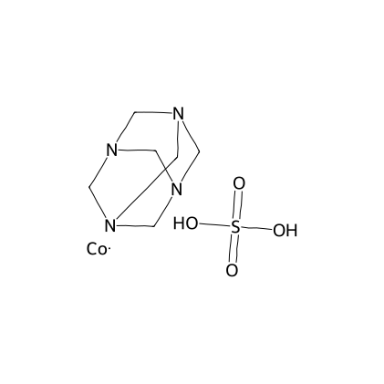 C1N2CN3CN1CN(C2)C3.O=S(=O)(O)O.[Co]